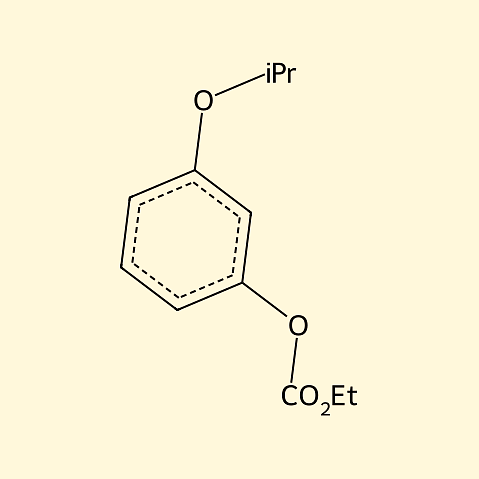 CCOC(=O)Oc1cccc(OC(C)C)c1